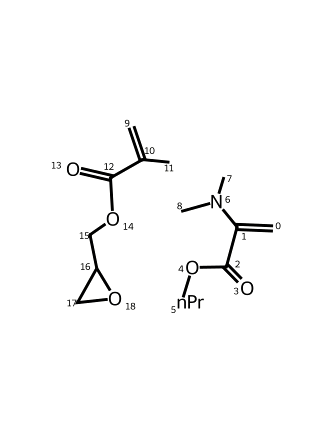 C=C(C(=O)OCCC)N(C)C.C=C(C)C(=O)OCC1CO1